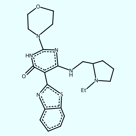 CCN1CCCC1CNc1nc(N2CCOCC2)[nH]c(=O)c1-c1nc2ccccc2s1